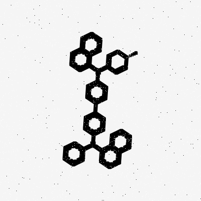 C[C@@H]1C=CC(N(c2ccc(-c3ccc(N(c4ccccc4)c4cccc5ccccc45)cc3)cc2)c2cccc3ccccc23)=CC1